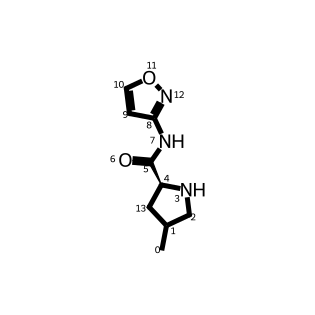 CC1CN[C@H](C(=O)Nc2ccon2)C1